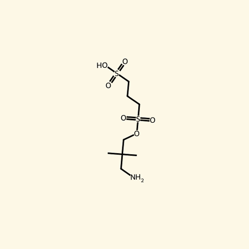 CC(C)(CN)COS(=O)(=O)CCCS(=O)(=O)O